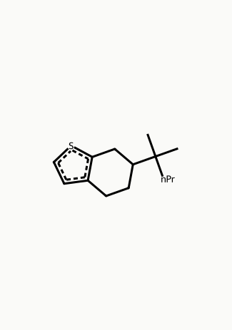 CCCC(C)(C)C1CCc2ccsc2C1